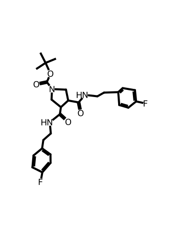 CC(C)(C)OC(=O)N1CC(C(=O)NCCc2ccc(F)cc2)C(C(=O)NCCc2ccc(F)cc2)C1